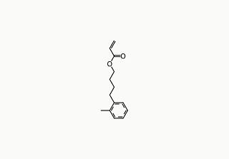 C=CC(=O)OCCCCc1ccccc1C